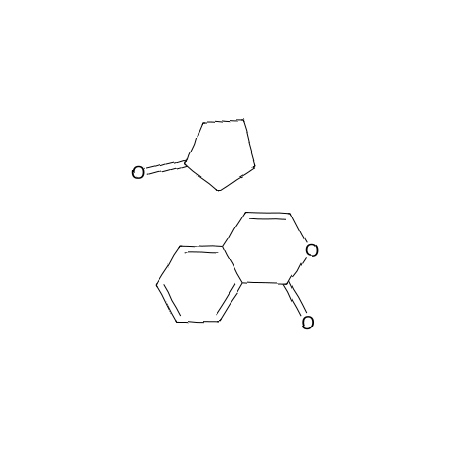 O=C1CCCC1.O=c1occc2ccccc12